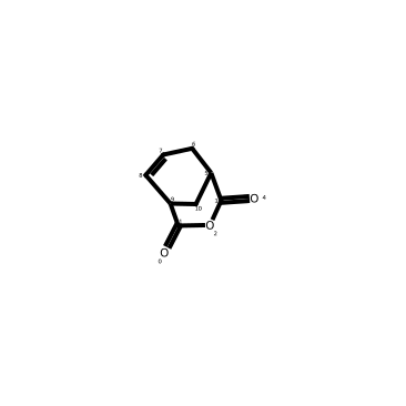 O=C1OC(=O)C2CC=CC1C2